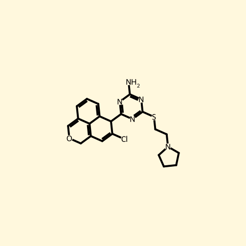 Nc1nc(SCCN2CCCC2)nc(C2C(Cl)=CC3=c4c2cccc4=COC3)n1